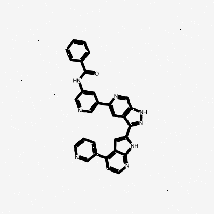 O=C(Nc1cncc(-c2cc3c(-c4cc5c(-c6cccnc6)ccnc5[nH]4)n[nH]c3cn2)c1)c1ccccc1